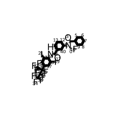 CN(C(=O)c1ccccc1F)c1cccc(C(=O)Nc2c(I)cc(C(F)(C(F)(F)F)C(F)(F)C(F)(F)F)cc2I)c1